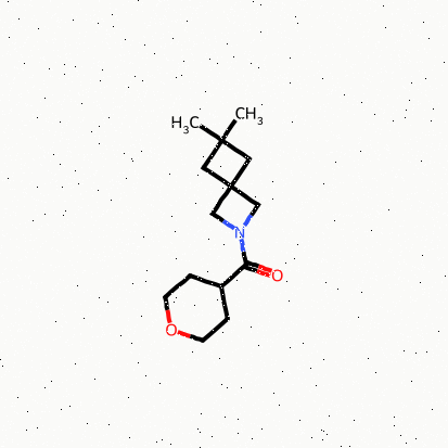 CC1(C)CC2(CN(C(=O)C3CCOCC3)C2)C1